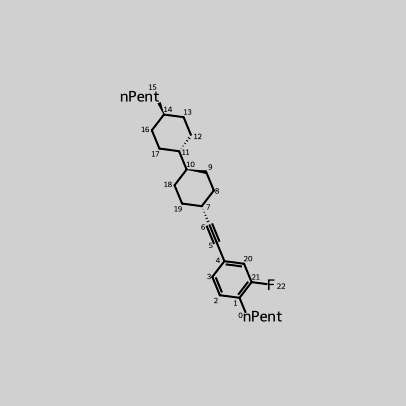 CCCCCc1ccc(C#C[C@H]2CC[C@H]([C@H]3CC[C@H](CCCCC)CC3)CC2)cc1F